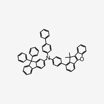 CC1(C)c2c(-c3ccc(N(c4ccc(-c5ccccc5)cc4)c4ccc5c(c4)C(c4ccccc4)(c4ccccc4)c4ccccc4-5)cc3)cccc2-c2oc3ccccc3c21